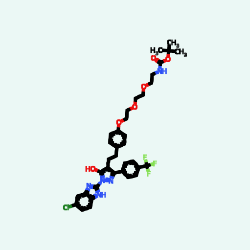 CC(C)(C)OC(=O)NCCOCCOCCOc1ccc(CCc2c(-c3ccc(C(F)(F)F)cc3)nn(-c3nc4cc(Cl)ccc4[nH]3)c2O)cc1